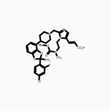 CN(CCn1c(/C=C/C(=O)O)cnc1CN1CCC(c2cccc3c2OC(C)(c2ccc(Cl)cc2F)O3)CC1)C(=O)OC(C)(C)C